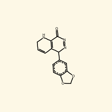 O=C1N=NC(c2ccc3c(c2)OCO3)C2=C1NCC=C2